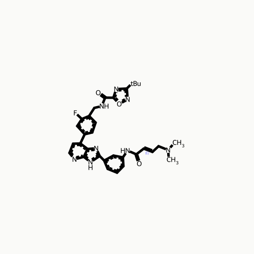 CN(C)C/C=C/C(=O)Nc1cccc(-c2nc3c(-c4ccc(CNC(=O)c5nc(C(C)(C)C)no5)c(F)c4)ccnc3[nH]2)c1